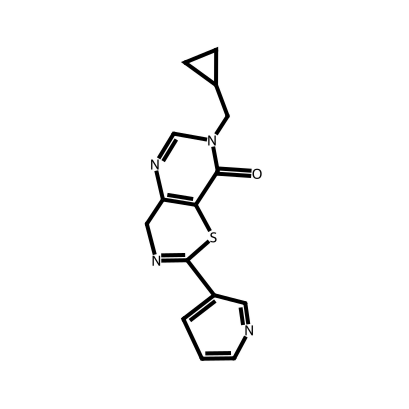 O=c1c2c(ncn1CC1CC1)CN=C(c1cccnc1)S2